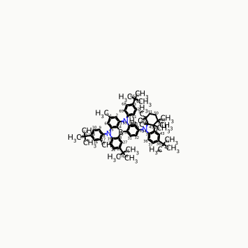 Cc1cc2c3c(c1)N(c1ccc(C(C)(C)C)cc1C)c1ccc(C(C)(C)C)cc1B3c1ccc(N3c4ccc(C(C)(C)C)cc4C4(C)C(C)(C)CCC(C)(C)C34C)cc1N2c1ccc(C(C)(C)C)cc1